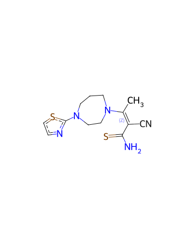 C/C(=C(\C#N)C(N)=S)N1CCCN(c2nccs2)CC1